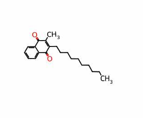 CCCCCCCCCCC1=C(C)C(=O)c2ccccc2C1=O